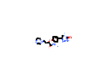 NC(=O)C(CCN1CCNCC1)Oc1ccc(C2=NNC(=O)NC2)cc1